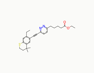 CCOC(=O)CCCCc1ccc(C#Cc2cc3c(cc2CC)SCCC3(C)C)nn1